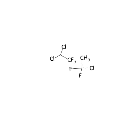 CC(F)(F)Cl.FC(F)(F)C(Cl)Cl